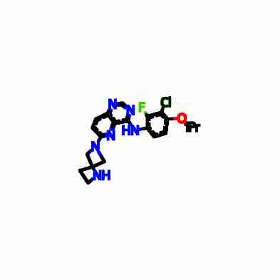 CC(C)Oc1ccc(Nc2ncnc3ccc(N4CC5(CCN5)C4)nc23)c(F)c1Cl